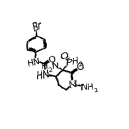 NN1CCC(NC(=O)Nc2ccc(Br)cc2)[C@](N)([PH2]=O)C1=O